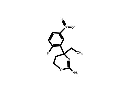 CCC1(c2cc([N+](=O)[O-])ccc2F)CCOC(N)=N1